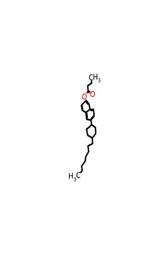 CCCCCCCCC1CCC(c2ccc3cc(OC(=O)CCC)ccc3c2)CC1